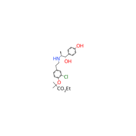 CCOC(=O)C(C)(C)Oc1ccc(CCN[C@@H](C)[C@@H](O)c2ccc(O)cc2)cc1Cl